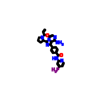 C=CC(=O)N1CCCC1c1nc(-c2ccc(C(=O)Nc3cc(P)ccn3)cc2)c2c(N)nccn12